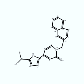 O=c1cc(-c2nnc(C(F)F)o2)ccn1Cc1ccc2ccccc2c1